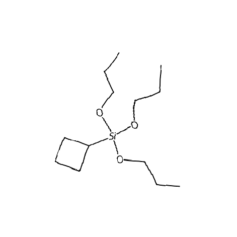 CCCO[Si](OCCC)(OCCC)C1CCC1